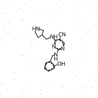 N#Cc1cnc(NCc2ccccc2O)nc1NCC1CCNC1